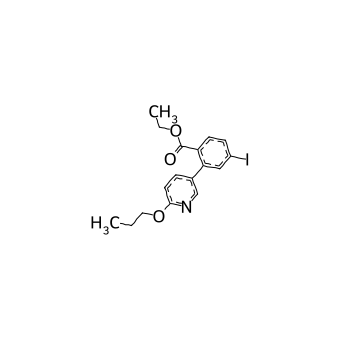 CCCOc1ccc(-c2cc(I)ccc2C(=O)OCC)cn1